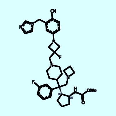 COC(=O)N[C@H]1CCC[C@@H]1C(CN1CCC1)(c1cccc(F)c1)C1CCN(CC2(F)CN(c3ccc(C#N)c(Cn4ccnc4)c3)C2)CC1